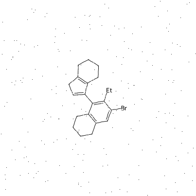 CCc1c(Br)cc2c(c1C1=CCC3=C1CCCC3)CCCC2